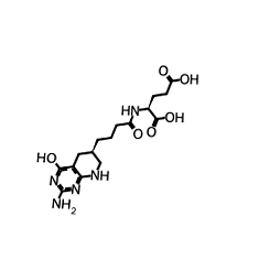 Nc1nc(O)c2c(n1)NC[C@H](CCCC(=O)N[C@@H](CCC(=O)O)C(=O)O)C2